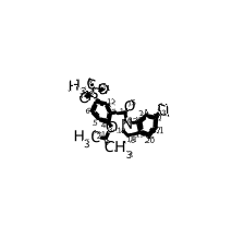 CC(C)Oc1ccc(S(C)(=O)=O)cc1C(=O)N1CCc2ccc(Cl)cc21